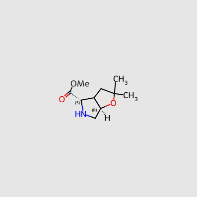 COC(=O)[C@H]1NC[C@@H]2OC(C)(C)CC21